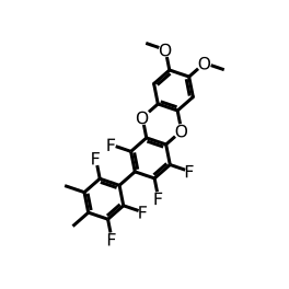 COc1cc2c(cc1OC)Oc1c(F)c(-c3c(F)c(C)c(C)c(F)c3F)c(F)c(F)c1O2